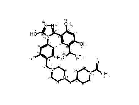 CC(=O)N1CCC(CN2CCN(Cc3ccc(-n4c(O)nnc4-c4cc(C(C)C)c(O)cc4C)cc3F)CC2)CC1